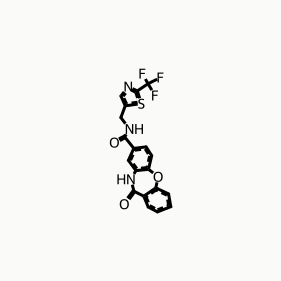 O=C(NCc1cnc(C(F)(F)F)s1)c1ccc2c(c1)NC(=O)c1ccccc1O2